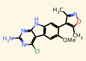 COc1cc2c(cc1-c1c(C)noc1C)[nH]c1nc(N)nc(Cl)c12